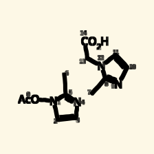 CC(=O)On1ccnc1C.Cc1nccn1CC(=O)O